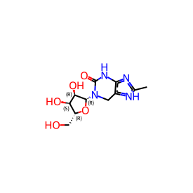 Cc1nc2c([nH]1)CN([C@@H]1O[C@H](CO)[C@@H](O)[C@H]1O)C(=O)N2